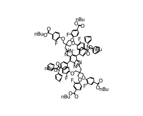 CCCCOC(=O)c1ccc(OCC(COc2ccc(C(=O)OCCCC)cc2F)(COc2ccc(C(=O)OCCCC)cc2F)Cn2nc3c(-c4ccc(N(c5ccccc5)c5ccccc5)cc4)c4n[n+](CC(COc5ccc(C(=O)OCCCC)cc5F)(COc5ccc(C(=O)OCCCC)cc5F)COc5ccc(C(=O)OCCCC)cc5F)[n-]c4c(-c4ccc(N(c5ccccc5)c5ccccc5)cc4)c3n2)c(F)c1